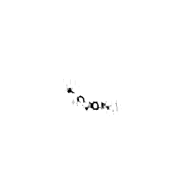 CCOC(=O)COc1ccc(N2CC3(CCN(C(=O)OC(C)(C)C)CC3)OC2=O)nc1[N+](=O)[O-]